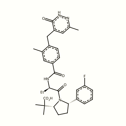 CC[C@@H](NC(=O)c1ccc(Cc2cc(C)n[nH]c2=O)c(C)c1)C(=O)N1[C@H](c2cccc(F)c2)CC[C@@H]1C(C)(C)C(=O)O